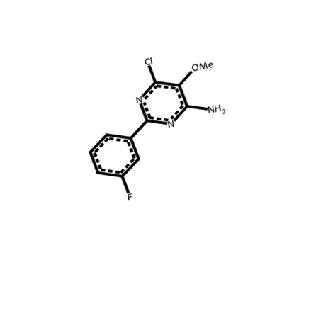 COc1c(N)nc(-c2cccc(F)c2)nc1Cl